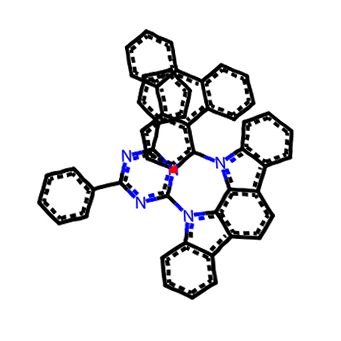 c1ccc(-c2nc(-c3ccccc3)nc(-n3c4ccccc4c4ccc5c6ccccc6n(-c6cccc7c8ccccc8c8ccccc8c67)c5c43)n2)cc1